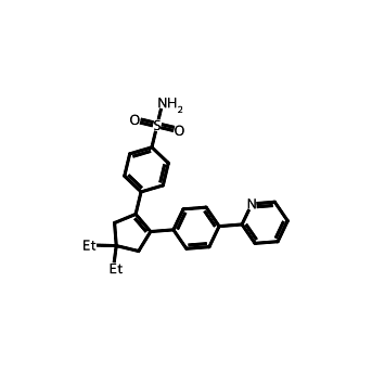 CCC1(CC)CC(c2ccc(-c3ccccn3)cc2)=C(c2ccc(S(N)(=O)=O)cc2)C1